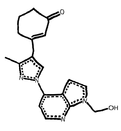 Cc1nn(-c2ccnc3c2ccn3CO)cc1C1=CC(=O)CCC1